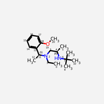 CCN(C[C@@H](C)NC(C)(C)C)[C@@H](C)c1ccccc1OC